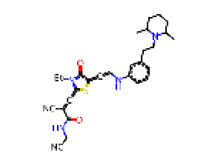 CCn1c(=C=C(C#N)C(=O)NCC#N)sc(=C=CNc2cccc(CCN3C(C)CCCC3C)c2)c1=O